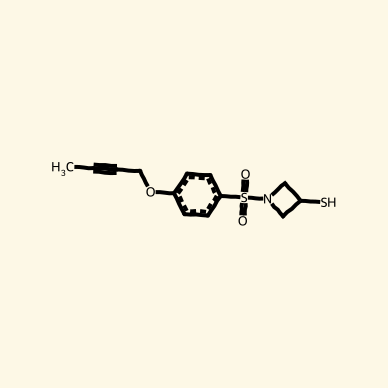 CC#CCOc1ccc(S(=O)(=O)N2CC(S)C2)cc1